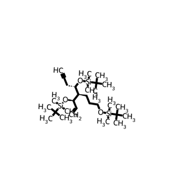 C#CC[C@H](O[Si](C)(C)C(C)(C)C)[C@@H](CCCO[Si](C)(C)C(C)(C)C)[C@@H](C=C)O[Si](C)(C)C(C)(C)C